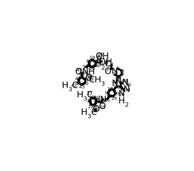 C=CC(=O)N1CCC[C@@H](n2nc(-c3ccc(CNC(=O)c4cc(C)ccc4OC)cc3)c3c(N)ncnc32)C1.COc1ccc(C)cc1C(=O)NCc1ccc(B(O)O)cc1